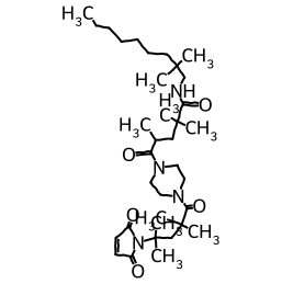 CCCCCCCC(C)(C)CNC(=O)C(C)(C)CC(C)C(=O)N1CCN(C(=O)C(C)(C)CC(C)(C)N2C(=O)C=CC2=O)CC1